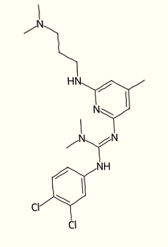 Cc1cc(/N=C(/Nc2ccc(Cl)c(Cl)c2)N(C)C)nc(NCCCN(C)C)c1